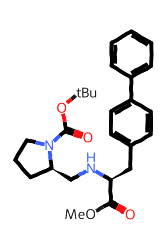 COC(=O)[C@H](Cc1ccc(-c2ccccc2)cc1)NC[C@H]1CCCN1C(=O)OC(C)(C)C